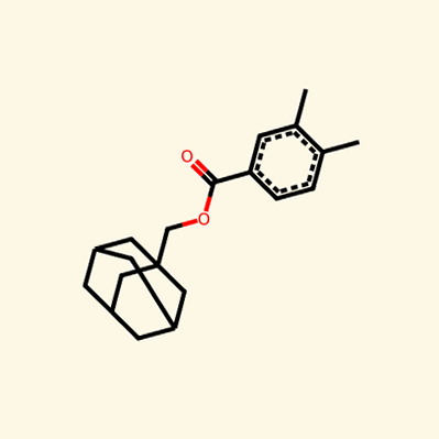 Cc1ccc(C(=O)OCC23CC4CC(CC(C4)C2)C3)cc1C